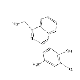 Nc1ccc(O)c(Cl)c1.OCc1nccc2ccccc12